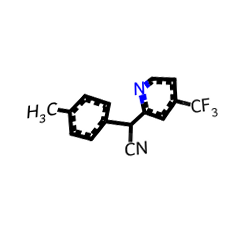 Cc1ccc(C(C#N)c2cc(C(F)(F)F)ccn2)cc1